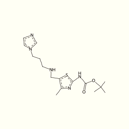 Cc1nc(NC(=O)OC(C)(C)C)sc1CNCCCn1ccnc1